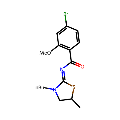 CCCCN1CC(C)SC1=NC(=O)c1ccc(Br)cc1OC